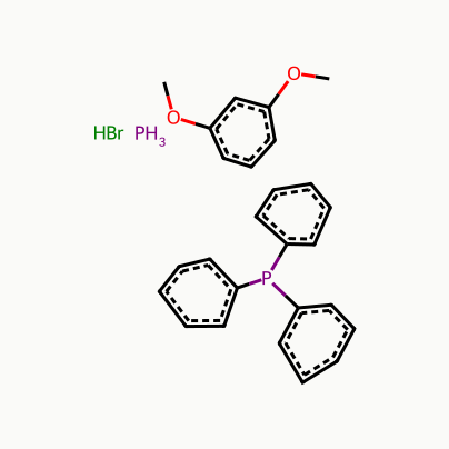 Br.COc1cccc(OC)c1.P.c1ccc(P(c2ccccc2)c2ccccc2)cc1